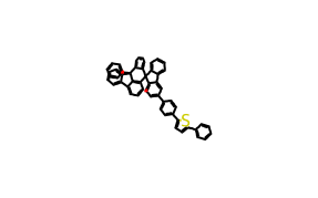 c1ccc(-c2ccc(-c3ccc(-c4ccc5c(c4)-c4ccccc4C54c5ccccc5C5(c6ccccc6)c6ccccc6-c6cccc4c65)cc3)s2)cc1